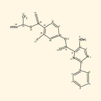 CCCCCCCCCCc1cnc(-c2ccccc2)nc1C(=O)Oc1ccc(C(=O)OC(CCCCCC)C(F)(F)F)c(F)c1